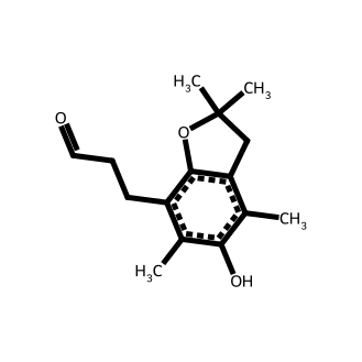 Cc1c(O)c(C)c2c(c1CCC=O)OC(C)(C)C2